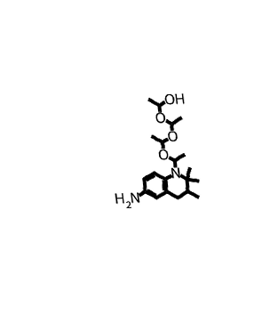 CC(O)OC(C)OC(C)OC(C)N1c2ccc(N)cc2CC(C)C1(C)C